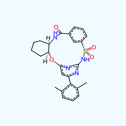 Cc1cccc(C)c1-c1cc2nc(n1)NS(=O)(=O)c1cccc(c1)C(=O)N[C@@H]1CCCC[C@@H]1O2